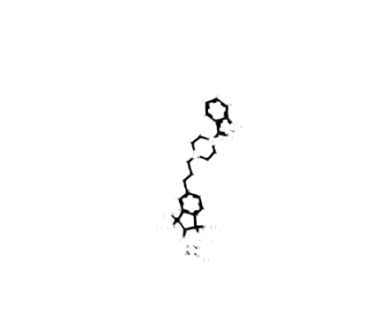 CC1(C)c2ccc(CCCN3CCN(c4nsc5ccccc45)CC3)cc2C(C)(C)C1OS(C)(=O)=O